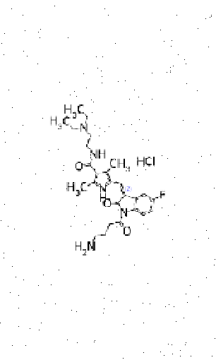 CCN(CC)CCNC(=O)c1c(C)[nH]c(/C=C2\C(=O)N(C(=O)CCCN)c3ccc(F)cc32)c1C.Cl